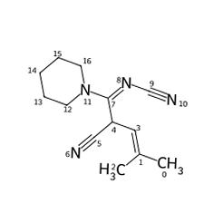 CC(C)=CC(C#N)C(=NC#N)N1CCCCC1